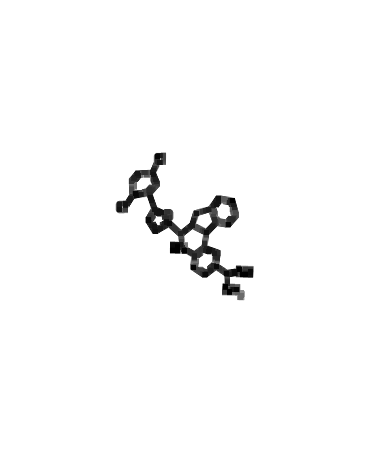 N=C(N)c1ccc2c(c1)C1c3ccccc3CC1C(c1ccc(-c3cc(Cl)ccc3Cl)o1)N2